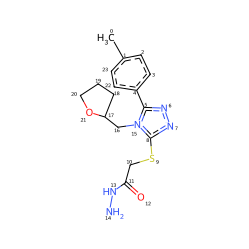 Cc1ccc(-c2nnc(SCC(=O)NN)n2CC2CCCO2)cc1